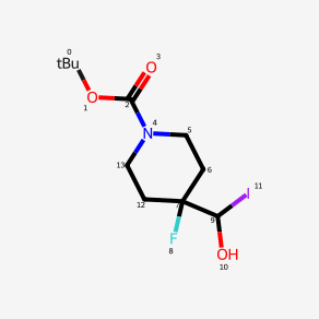 CC(C)(C)OC(=O)N1CCC(F)(C(O)I)CC1